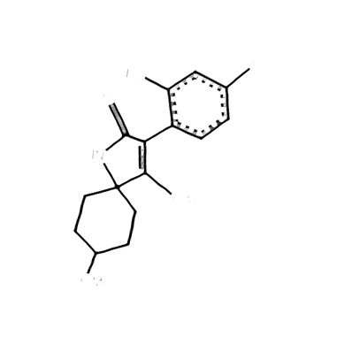 COC1CCC2(CC1)NC(=O)C(c1ccc(C)cc1C)=C2OC(C)=O